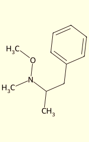 CON(C)C(C)Cc1ccccc1